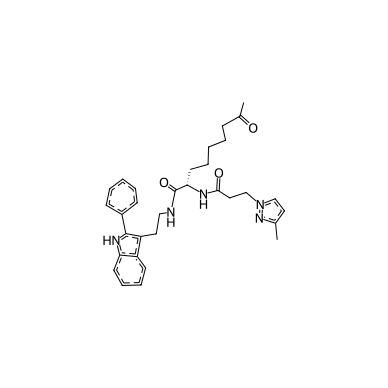 CC(=O)CCCCC[C@H](NC(=O)CCn1ccc(C)n1)C(=O)NCCc1c(-c2ccccc2)[nH]c2ccccc12